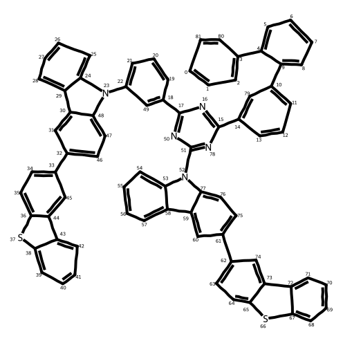 c1ccc(-c2ccccc2-c2cccc(-c3nc(-c4cccc(-n5c6ccccc6c6cc(-c7ccc8sc9ccccc9c8c7)ccc65)c4)nc(-n4c5ccccc5c5cc(-c6ccc7sc8ccccc8c7c6)ccc54)n3)c2)cc1